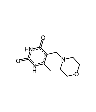 Cc1[nH]c(=O)[nH]c(=O)c1CN1CCOCC1